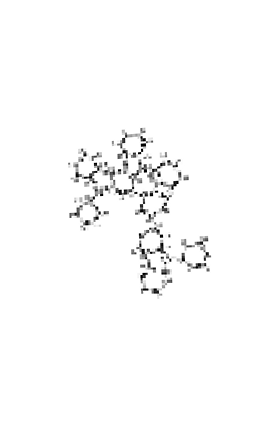 c1ccc(-n2c3ccccc3c3ccc(-c4cccc(-c5cc6c(c7ccccc7n6-c6ccccc6)c6c7ccccc7n(-c7ccccc7)c56)c4)cc32)cc1